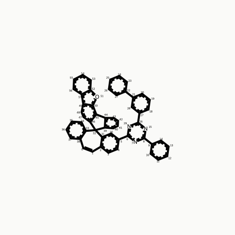 C1=Cc2ccc(-c3nc(-c4ccccc4)nc(-c4cccc(-c5ccccc5)c4)n3)cc2C2(c3ccccc31)c1ccccc1-c1c2ccc2c1oc1ccccc12